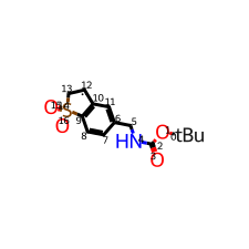 CC(C)(C)OC(=O)NCc1ccc2c(c1)[C]CS2(=O)=O